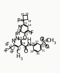 Cc1c(C(F)(F)F)nnc(Oc2c(F)cc(C3(F)CCC3)nc2F)c1C(=O)Nc1cccc(S(C)(=O)=O)c1